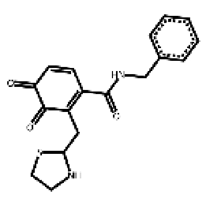 O=C1C=CC(C(=O)NCc2ccccc2)=C(CC2NCCS2)C1=O